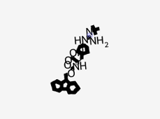 CC(C)(C)/N=C(\N)Nc1ccc(C[C@H](NC(=O)OCC2c3ccccc3-c3ccccc32)C(=O)O)cc1